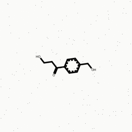 O=C(CCO)c1ccc(CO)cc1